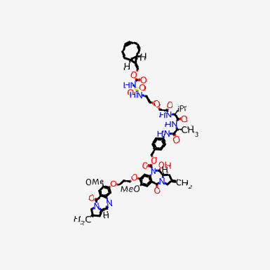 C=C1C[C@H]2C=Nc3cc(OCCCOc4cc5c(cc4OC)C(=O)N4CC(=C)C[C@H]4[C@H](O)N5C(=O)OCc4ccc(NC(=O)[C@H](C)NC(=O)[C@@H](NC(=O)COCCNS(=O)(=O)NC(=O)OCC5[C@H]6CCC#CCC[C@@H]56)C(C)C)cc4)c(OC)cc3C(=O)N2C1